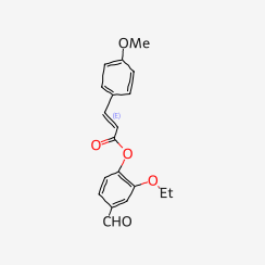 CCOc1cc(C=O)ccc1OC(=O)/C=C/c1ccc(OC)cc1